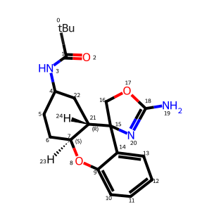 CC(C)(C)C(=O)NC1CC[C@@H]2Oc3ccccc3C3(COC(N)=N3)[C@H]2C1